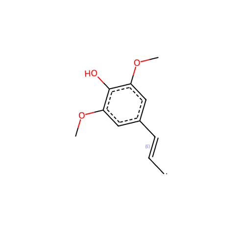 [CH2]/C=C/c1cc(OC)c(O)c(OC)c1